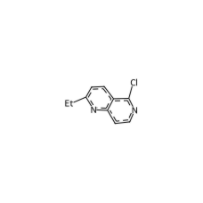 CCc1ccc2c(Cl)nccc2n1